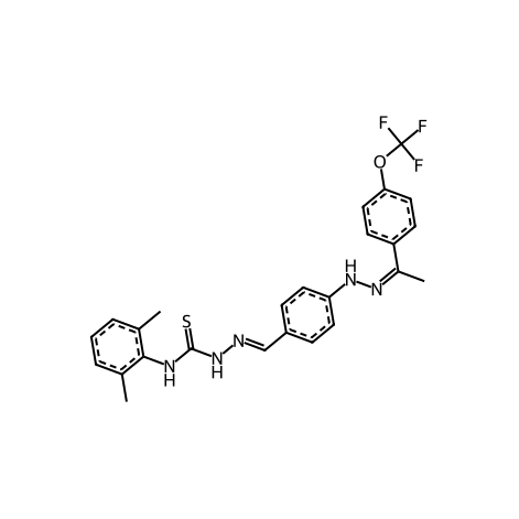 CC(=NNc1ccc(C=NNC(=S)Nc2c(C)cccc2C)cc1)c1ccc(OC(F)(F)F)cc1